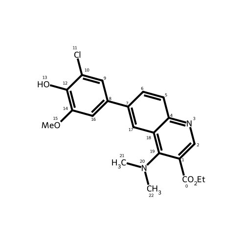 CCOC(=O)c1cnc2ccc(-c3cc(Cl)c(O)c(OC)c3)cc2c1N(C)C